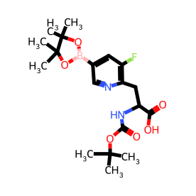 CC(C)(C)OC(=O)NC(Cc1ncc(B2OC(C)(C)C(C)(C)O2)cc1F)C(=O)O